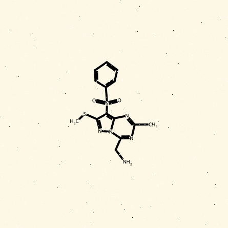 CSc1nn2c(CN)nc(C)nc2c1S(=O)(=O)c1ccccc1